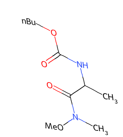 CCCCOC(=O)NC(C)C(=O)N(C)OC